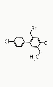 C[CH]c1cc(-c2ccc(Cl)cc2)c(CBr)cc1Cl